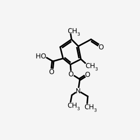 CCN(CC)C(=O)Oc1c(C(=O)O)cc(C)c(C=O)c1C